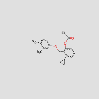 CCC(=O)Oc1cccc(C2CC2)c1COc1ccc(C)c(C)c1